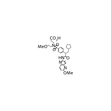 COCCN(CCC(=O)O)S(=O)(=O)c1ccc(C(CC2CCCC2)C(=O)Nc2nc3ccc(OC)nc3s2)cc1